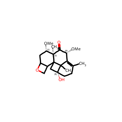 CO[C@H]1C(=O)[C@]2(C)[C@@H](OC)CC3OCC3C23C[C@]2(O)CCC(C)=C1C32C